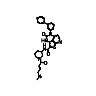 CN(C)C/C=C/C(=O)N1CCC[C@@H](NC(=O)c2sc3nccc4c3c2NC(=O)N4c2cccc(-c3ccccc3)c2)C1